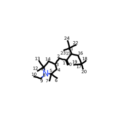 C=C(CC1CC(C)(C)N(CC)C(C)(C)C1)C(CC(C)(C)C)C(C)(C)C